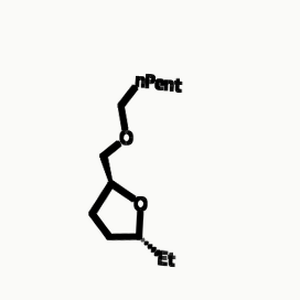 CCCCCCOC[C@@H]1CC[C@@H](CC)O1